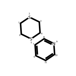 C1CSCCS1.c1ccncc1